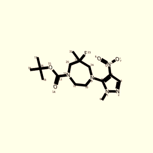 Cn1ncc([N+](=O)[O-])c1N1CCN(C(=O)OC(C)(C)C)CC(C)(F)C1